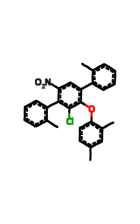 Cc1ccc(Oc2c(-c3ccccc3C)cc([N+](=O)[O-])c(-c3ccccc3C)c2Cl)c(C)c1